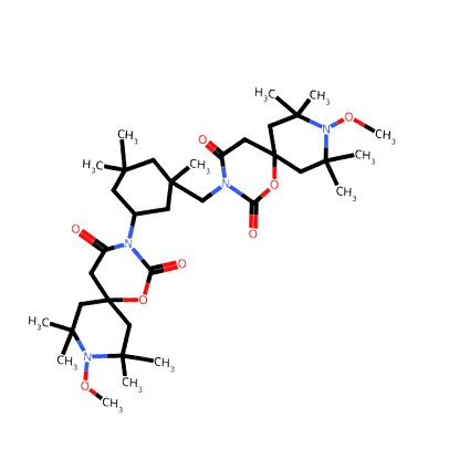 CON1C(C)(C)CC2(CC(=O)N(CC3(C)CC(N4C(=O)CC5(CC(C)(C)N(OC)C(C)(C)C5)OC4=O)CC(C)(C)C3)C(=O)O2)CC1(C)C